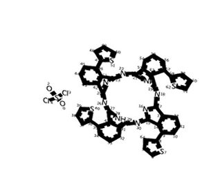 O=S(=O)(Cl)Cl.c1csc(-c2cccc3c2-c2nc-3nc3[nH]c(nc4nc(nc5[nH]c(n2)c2cccc(-c6cccs6)c52)-c2cccc(-c5cccs5)c2-4)c2cccc(-c4cccs4)c32)c1